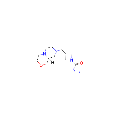 NC(=O)N1CC(CN2CCN3CCOC[C@@H]3C2)C1